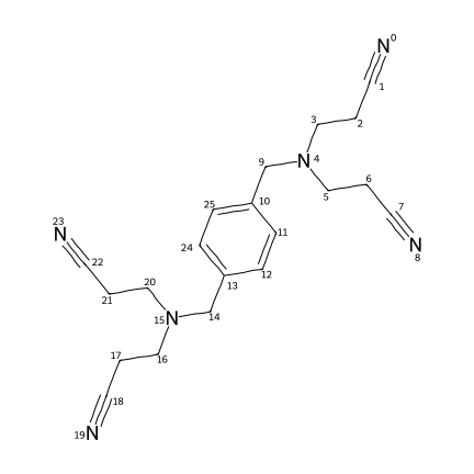 N#CCCN(CCC#N)Cc1ccc(CN(CCC#N)CCC#N)cc1